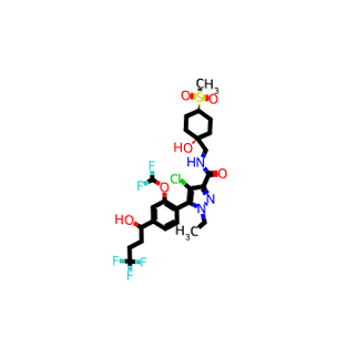 CCn1nc(C(=O)NC[C@]2(O)CC[C@@H](S(C)(=O)=O)CC2)c(Cl)c1-c1ccc(C(O)CCC(F)(F)F)cc1OC(F)F